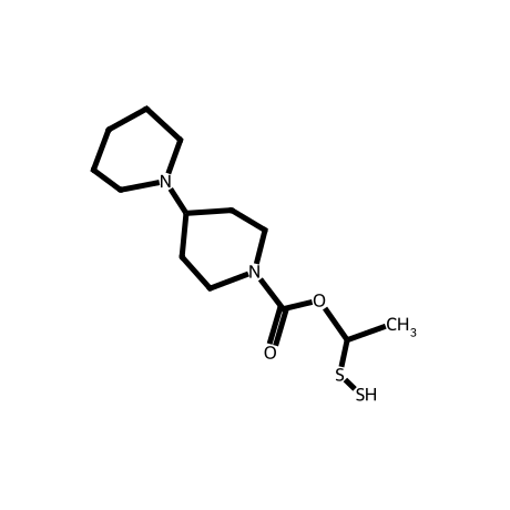 CC(OC(=O)N1CCC(N2CCCCC2)CC1)SS